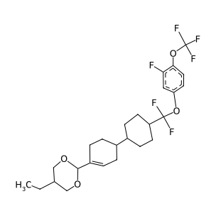 CCC1COC(C2=CCC(C3CCC(C(F)(F)Oc4ccc(OC(F)(F)F)c(F)c4)CC3)CC2)OC1